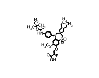 CCCCC1(CCCC)CN(c2ccc(NC(=O)OC(C)(C)C)cc2)c2cc(SC)c(O/C=C(\F)C(=O)O)cc2S(=O)(=O)C1